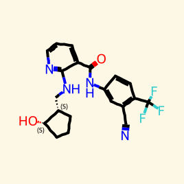 N#Cc1cc(NC(=O)c2cccnc2NC[C@@H]2CCC[C@@H]2O)ccc1C(F)(F)F